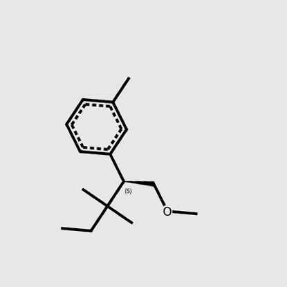 CCC(C)(C)[C@H](COC)c1cccc(C)c1